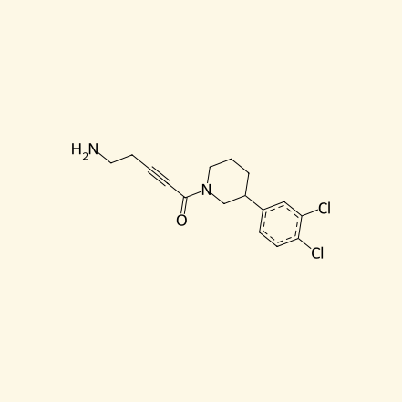 NCCC#CC(=O)N1CCCC(c2ccc(Cl)c(Cl)c2)C1